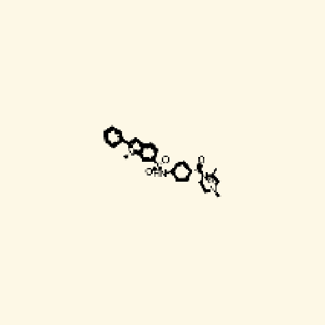 C[C@H]1CN(C)CCN1C(=O)[C@H]1CC[C@H](NS(=O)(=O)c2ccc3cc(-c4ccccc4)n(C)c3c2)CC1